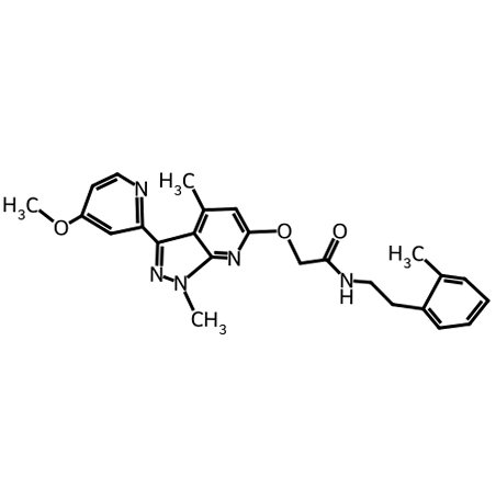 COc1ccnc(-c2nn(C)c3nc(OCC(=O)NCCc4ccccc4C)cc(C)c23)c1